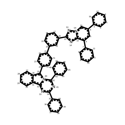 c1ccc(-c2cc(-c3ccccc3)c3nc(-c4cccc(-c5ccc(-c6c7ccccc7c7nc(-c8ccccc8)nc(-c8ccccc8)n67)cc5)c4)nn3c2)cc1